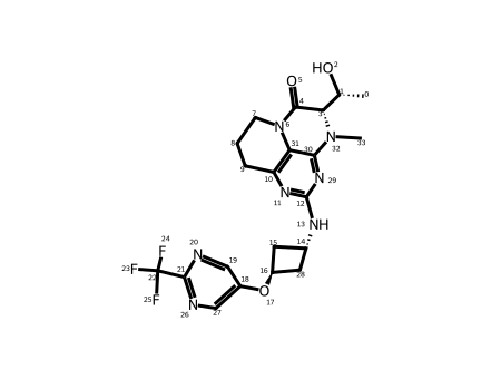 C[C@@H](O)[C@H]1C(=O)N2CCCc3nc(N[C@H]4C[C@H](Oc5cnc(C(F)(F)F)nc5)C4)nc(c32)N1C